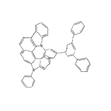 c1ccc(-c2cc(-c3ccccc3)cc(-c3cccc(-n4c5ccccc5c5ccc6ccc7c(c8ccccc8n7-c7ccccc7)c6c54)c3)c2)cc1